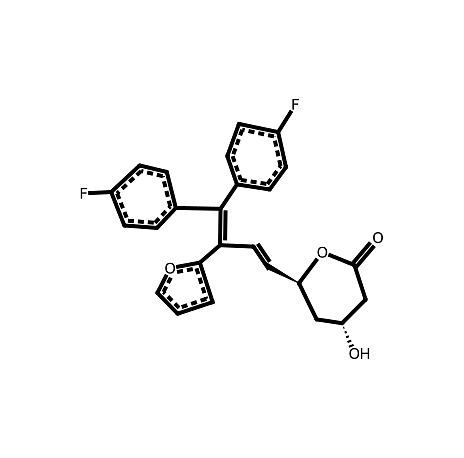 O=C1C[C@H](O)C[C@@H](/C=C/C(=C(c2ccc(F)cc2)c2ccc(F)cc2)c2ccco2)O1